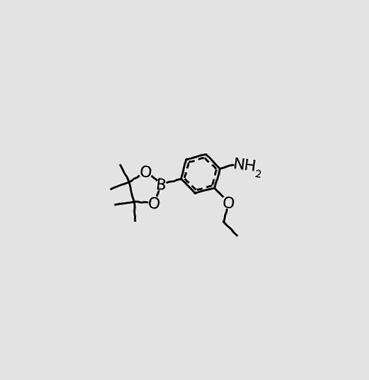 CCOc1cc(B2OC(C)(C)C(C)(C)O2)ccc1N